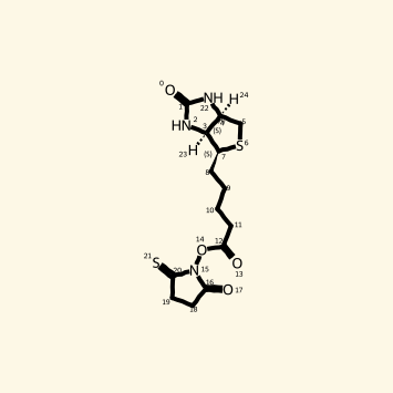 O=C1N[C@H]2[C@H](CS[C@H]2CCCCC(=O)ON2C(=O)CCC2=S)N1